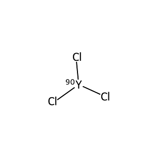 [Cl][90Y]([Cl])[Cl]